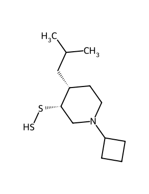 CC(C)C[C@@H]1CCN(C2CCC2)C[C@@H]1SS